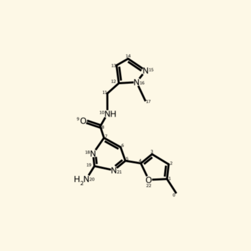 Cc1ccc(-c2cc(C(=O)NCc3ccnn3C)nc(N)n2)o1